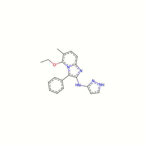 CCOc1c(C)ccc2nc(Nc3cc[nH]n3)c(-c3ccccc3)n12